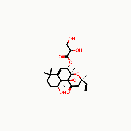 C=C[C@@]1(C)CC(=O)[C@@]2(O)[C@](C)(O1)[C@@H](OC(=O)[C@H](O)CO)C=C1C(C)(C)CC[C@H](O)[C@@]12C